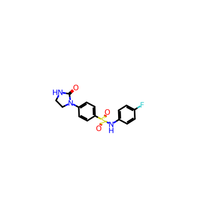 O=C1NCCN1c1ccc(S(=O)(=O)Nc2ccc(F)cc2)cc1